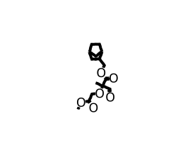 COC(=O)COC(C)(C=O)C(=O)OCC1CC2CCC1C2